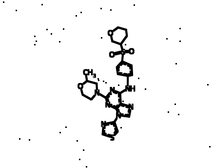 CC1CN(c2nc(Nc3ccc(S(=O)(=O)C4CCCOC4)cc3)c3ncn(-c4cscn4)c3n2)CCO1